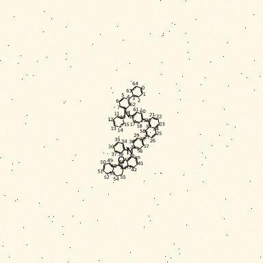 c1ccc(-c2cccc(N(c3ccccc3)c3ccc(-c4cccc5ccc(-c6ccc(N(c7ccccc7)c7cccc8c9c(oc78)-c7ccccc7CC9)cc6)cc45)cc3)c2)cc1